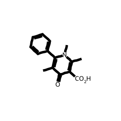 Cc1c(-c2ccccc2)n(C)c(C)c(C(=O)O)c1=O